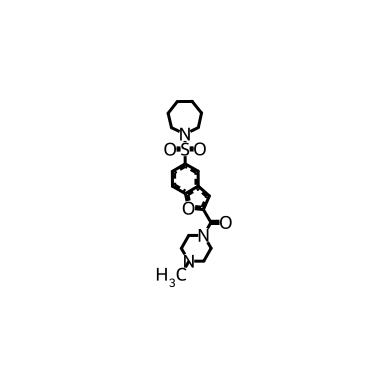 CN1CCN(C(=O)c2cc3cc(S(=O)(=O)N4CCCCCC4)ccc3o2)CC1